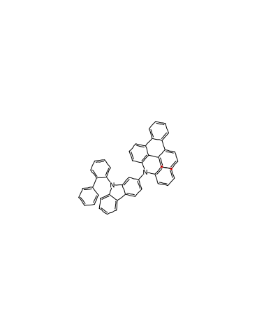 c1ccc(-c2ccccc2-n2c3ccccc3c3ccc(N(c4ccccc4)c4cccc5c6ccccc6c6ccccc6c45)cc32)cc1